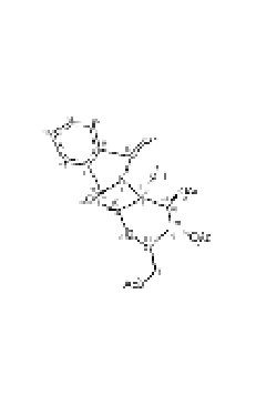 CC(=O)OC[C@H]1O[C@@H](O)[C@@](O)(N2C(=O)c3ccccc3C2=O)[C@@H](OC(C)=O)[C@@H]1OC(C)=O